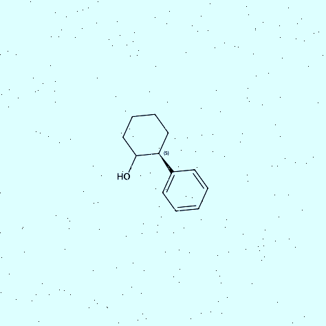 OC1CCCC[C@H]1c1ccccc1